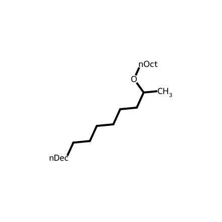 CCCCCCCCCCCCCCCCC(C)OCCCCCCCC